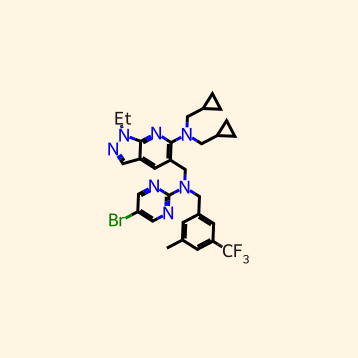 CCn1ncc2cc(CN(Cc3cc(C)cc(C(F)(F)F)c3)c3ncc(Br)cn3)c(N(CC3CC3)CC3CC3)nc21